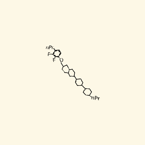 CCCc1ccc(OCC2CCC3CC(C4CCC(C5CCC(CCC)CC5)CC4)CCC3C2)c(F)c1F